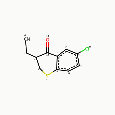 N#CCC1CSc2ccc(Cl)cc2C1=O